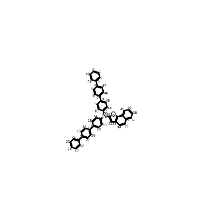 c1ccc(-c2ccc(-c3ccc(N(c4ccc(-c5ccc(-c6ccccc6)cc5)cc4)c4cc5ccc6ccccc6c5o4)cc3)cc2)cc1